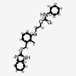 Cc1c(CSc2nc3ccccc3[nH]2)cccc1SCCOC(=O)Nc1ccccc1